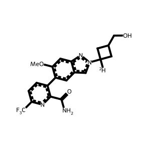 [2H]C1(n2cc3cc(-c4ccc(C(F)(F)F)nc4C(N)=O)c(OC)cc3n2)CC(CO)C1